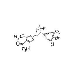 Cc1cc(C=CC(c2cc(Cl)c(Br)c(Cl)c2)C(F)(F)F)ccc1C(=O)O